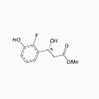 COC(=O)C[C@@H](O)c1cccc(O)c1F